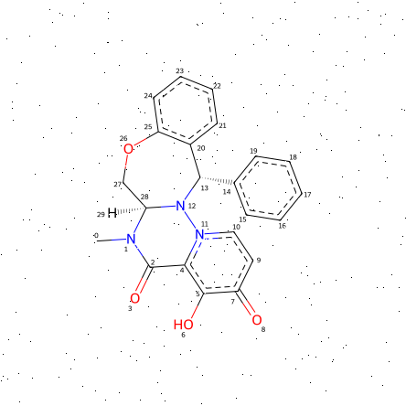 CN1C(=O)c2c(O)c(=O)ccn2N2[C@@H](c3ccccc3)c3ccccc3OC[C@H]12